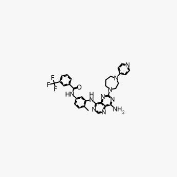 Cc1ccc(NC(=O)c2cccc(C(F)(F)F)c2)cc1Nc1ncnc2c(N)nc(N3CCCN(c4ccncc4)CC3)nc12